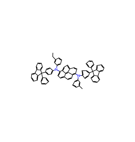 CCc1cccc(N(c2ccc(C3(c4ccccc4)c4ccccc4-c4ccccc43)cc2)c2ccc3ccc4c(N(c5ccc(C6(c7ccccc7)c7ccccc7-c7ccccc76)cc5)c5cccc(C)c5)ccc5ccc2c3c54)c1